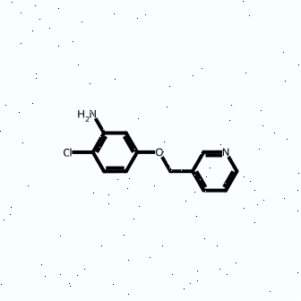 Nc1cc(OCc2cccnc2)ccc1Cl